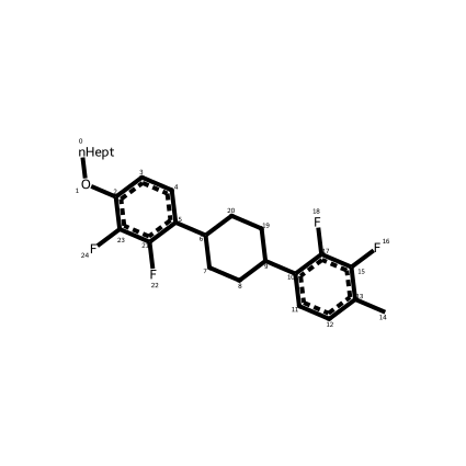 CCCCCCCOc1ccc(C2CCC(c3ccc(C)c(F)c3F)CC2)c(F)c1F